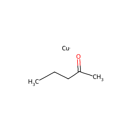 CCCC(C)=O.[Cu]